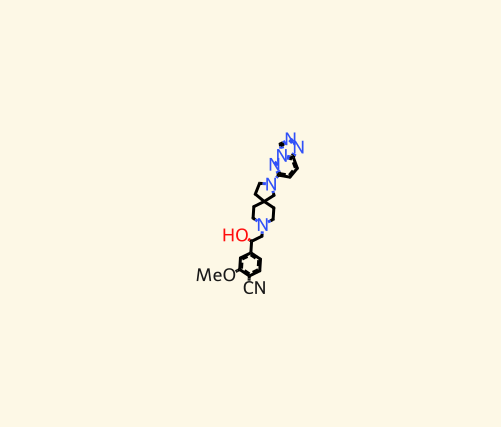 COc1cc(C(O)CN2CCC3(CC2)CCN(c2ccc4nncn4n2)C3)ccc1C#N